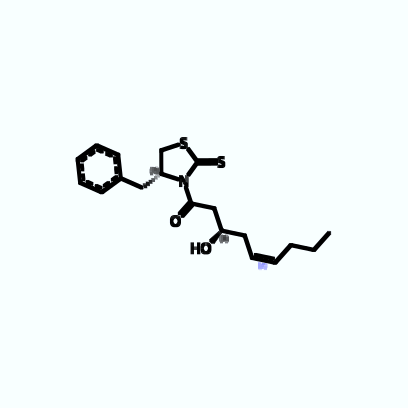 CCC/C=C\C[C@@H](O)CC(=O)N1C(=S)SC[C@H]1Cc1ccccc1